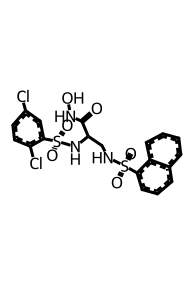 O=C(NO)C(CNS(=O)(=O)c1cccc2ccccc12)NS(=O)(=O)c1cc(Cl)ccc1Cl